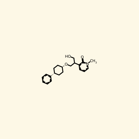 Cn1cccc(C(CO)CO[C@H]2CC[C@@H](c3ccccc3)CC2)c1=O